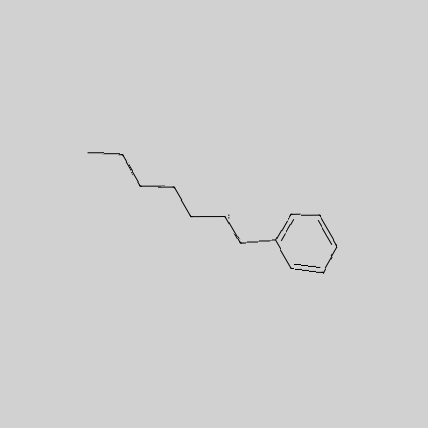 CCCCC[C]Cc1ccccc1